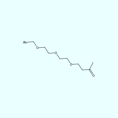 CCC(C)COCCOCCOCCC(=O)I